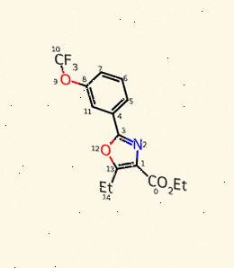 CCOC(=O)c1nc(-c2cccc(OC(F)(F)F)c2)oc1CC